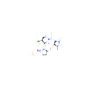 Cc1nn(C)c(Nc2ncc(C(F)(F)F)c(Cl)n2)c1OC[C@@H]1CN(C(=O)O)C[C@H]1C